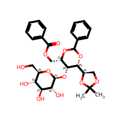 CC1(C)OC[C@H]([C@H]2OC(c3ccccc3)O[C@@H](COC(=O)c3ccccc3)[C@H]2O[C@@H]2O[C@H](CO)[C@@H](O)[C@H](O)[C@H]2O)O1